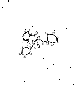 Cc1ccccc1C(=O)P(=O)(OCC1CC=CCC1)OCC1CC=CCC1